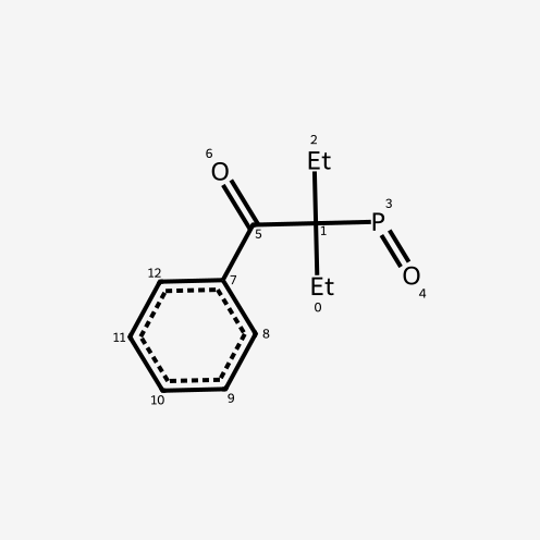 CCC(CC)(P=O)C(=O)c1ccccc1